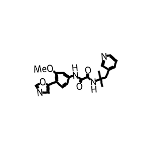 COc1cc(NC(=O)C(=O)NC(C)(C)Cc2cccnc2)ccc1-c1cnco1